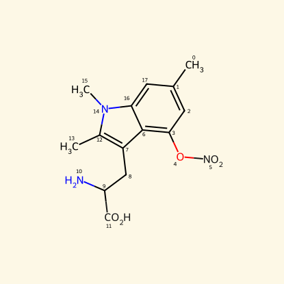 Cc1cc(O[N+](=O)[O-])c2c(CC(N)C(=O)O)c(C)n(C)c2c1